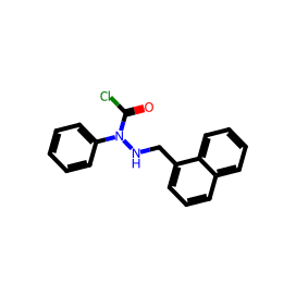 O=C(Cl)N(NCc1cccc2ccccc12)c1ccccc1